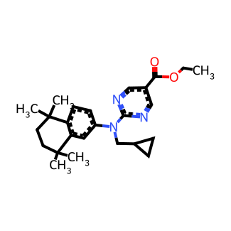 CCOC(=O)c1cnc(N(CC2CC2)c2ccc3c(c2)C(C)(C)CCC3(C)C)nc1